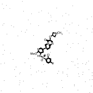 COc1ncc(-c2ccc3ncc(OC4CN(C)C4)c(=O)n3c2)cc1NS(=O)(=O)c1ccc(F)cc1Cl